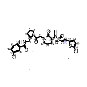 O=C(NC[C@H]1CCCN1C(=O)CN1CCC[C@H](NS(=O)(=O)/C=C/c2ccc(Cl)s2)C1=O)c1cccc(Cl)c1